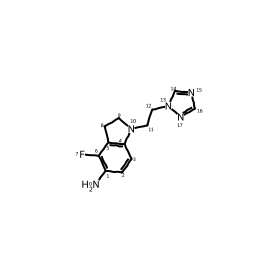 Nc1ccc2c(c1F)CCN2CCn1cncn1